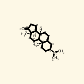 CN(C)[C@H]1CC[C@@]2(C)C(CC[C@@H]3C2CC[C@]2(C)C(=O)CC[C@@H]32)C1